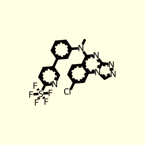 CN(c1cccc(-c2ccc(S(F)(F)(F)(F)F)nc2)c1)c1nc2nncn2c2cc(Cl)ccc12